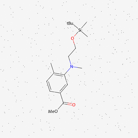 COC(=O)c1ccc(C)c(N(C)CCO[Si](C)(C)C(C)(C)C)c1